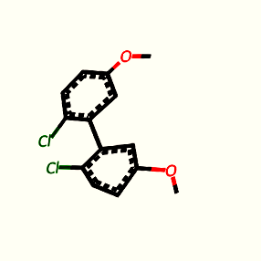 COc1ccc(Cl)c(-c2cc(OC)ccc2Cl)c1